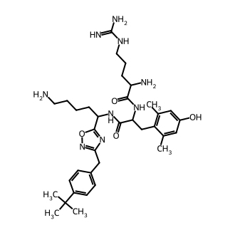 Cc1cc(O)cc(C)c1CC(NC(=O)C(N)CCCNC(=N)N)C(=O)NC(CCCCN)c1nc(Cc2ccc(C(C)(C)C)cc2)no1